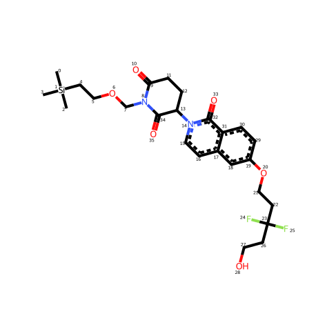 C[Si](C)(C)CCOCN1C(=O)CCC(n2ccc3cc(OCCC(F)(F)CCO)ccc3c2=O)C1=O